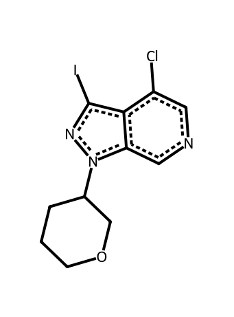 Clc1cncc2c1c(I)nn2C1CCCOC1